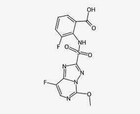 COc1ncc(F)c2nc(S(=O)(=O)Nc3c(F)cccc3C(=O)O)nn12